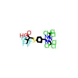 O=C(O)C(CSc1ccc(-c2nc(C(Cl)(Cl)Cl)nc(C(Cl)(Cl)Cl)n2)cc1)C(F)(C(F)F)C(F)(F)F